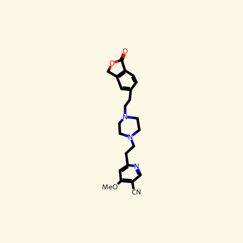 COc1cc(CCN2CCN(CCc3ccc4c(c3)COC4=O)CC2)ncc1C#N